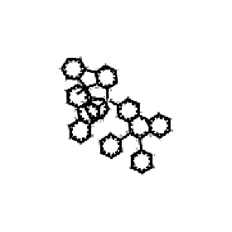 CC1(c2ccccc2)c2ccccc2-c2cccc(N(c3ccc4c(c3)c(-c3ccccc3)c(-c3ccccc3)c3ccccc34)c3cc4ccccc4c4ccccc34)c21